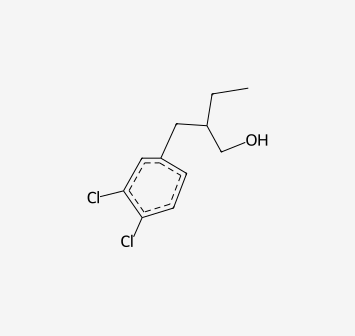 CCC(CO)Cc1ccc(Cl)c(Cl)c1